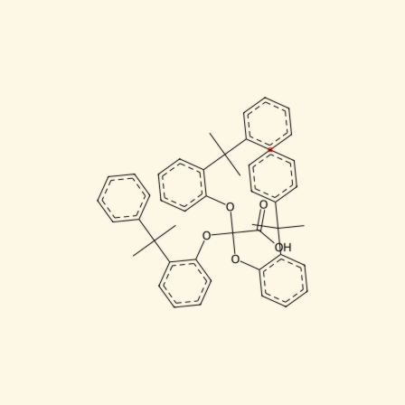 CC(C)(c1ccccc1)c1ccccc1OC(Oc1ccccc1C(C)(C)c1ccccc1)(Oc1ccccc1C(C)(C)c1ccccc1)C(=O)O